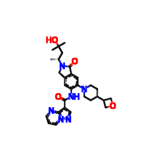 C[C@H](CC(C)(C)O)N1Cc2cc(NC(=O)c3cnn4cccnc34)c(N3CCC(C4COC4)CC3)cc2C1=O